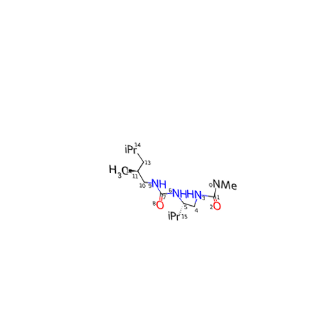 CNC(=O)NC[C@@H](NC(=O)NC[C@@H](C)CC(C)C)C(C)C